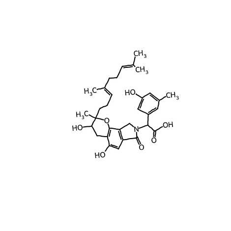 CC(C)=CCC/C(C)=C/CCC1(C)Oc2c(c(O)cc3c2CN(C(C(=O)O)c2cc(C)cc(O)c2)C3=O)CC1O